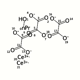 CCCO.O=C([O-])C(=O)[O-].O=C([O-])C(=O)[O-].O=C([O-])C(=O)[O-].[Ce+3].[Ce+3]